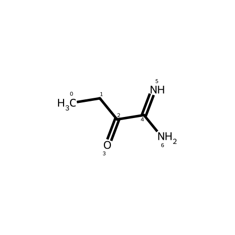 CCC(=O)C(=N)N